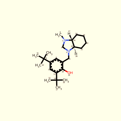 CN1CN(Cc2cc(C(C)(C)C)cc(C(C)(C)C)c2O)[C@@H]2CCCC[C@H]21